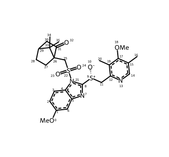 COc1ccc2c(c1)nc([S@+]([O-])Cc1ncc(C)c(OC)c1C)n2S(=O)(=O)CC12CCC(CC1=O)C2(C)C